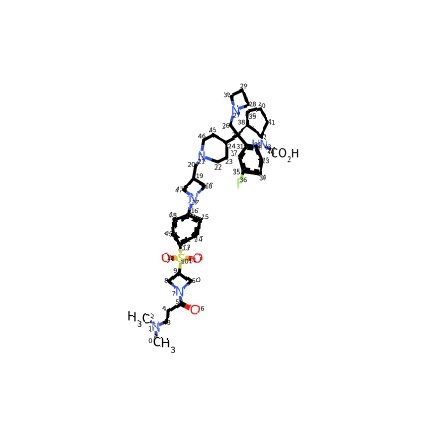 CN(C)CCC(=O)N1CC(S(=O)(=O)c2ccc(N3CC(CN4CCC(C(CN5CCC5)(c5cccc(F)c5)[C@H]5CCC[C@@H]5NC(=O)O)CC4)C3)cc2)C1